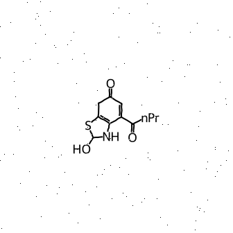 CCCC(=O)C1=CC(=O)CC2=C1NC(O)S2